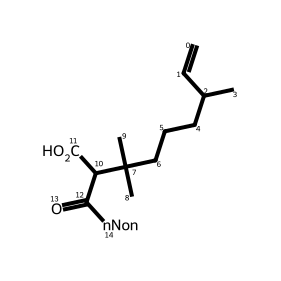 C=CC(C)CCCC(C)(C)C(C(=O)O)C(=O)CCCCCCCCC